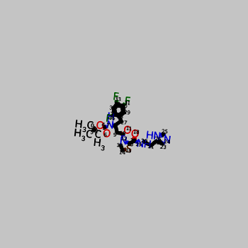 CC(C)(C)OC(=O)NC(CC(=O)N1CCSC1C(=O)NCCc1cnc[nH]1)Cc1cc(F)c(F)cc1F